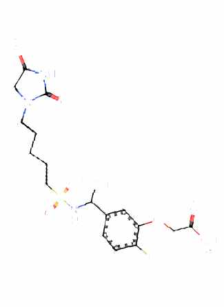 CC(NS(=O)(=O)CCCCCN1CC(=O)NC1=O)c1ccc(F)c(OCC(=O)O)c1